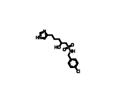 O=S(=O)(CC(O)CCCc1c[nH]cn1)NCc1ccc(Cl)cc1